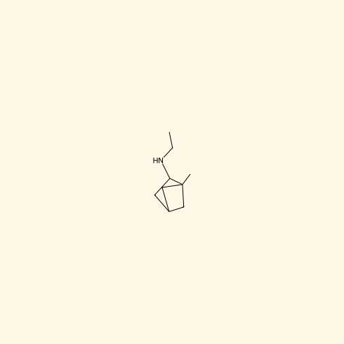 CCNC1CC2CC1(C)C2